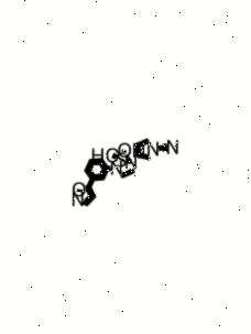 N#CN1CCC(N2CCN(c3cccc(-c4ccno4)c3)S2(O)O)C1